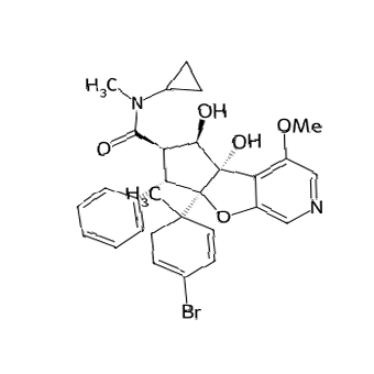 COc1cncc2c1[C@]1(O)[C@H](O)[C@H](C(=O)N(C)C3CC3)[C@@H](c3ccccc3)[C@]1(C1(C)C=CC(Br)=CC1)O2